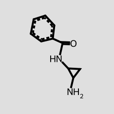 NC1CC1NC(=O)c1ccccc1